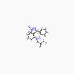 CCC(C)CNc1cccc2c1c(-c1ccccc1)nn2C